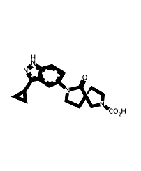 O=C(O)N1CC[C@]2(CCN(c3ccc4[nH]nc(C5CC5)c4c3)C2=O)C1